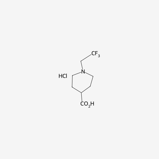 Cl.O=C(O)C1CCN(CC(F)(F)F)CC1